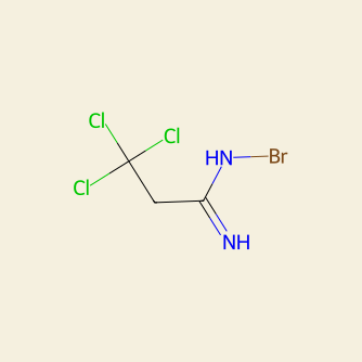 N=C(CC(Cl)(Cl)Cl)NBr